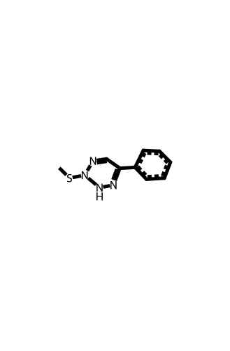 CSN1N=CC(c2ccccc2)=NN1